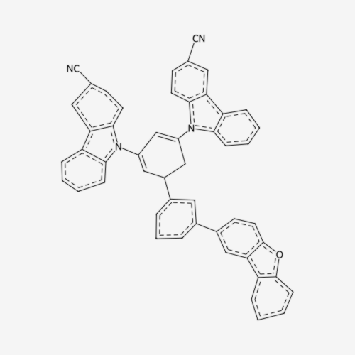 N#Cc1ccc2c(c1)c1ccccc1n2C1=CC(c2cccc(-c3ccc4oc5ccccc5c4c3)c2)CC(n2c3ccccc3c3cc(C#N)ccc32)=C1